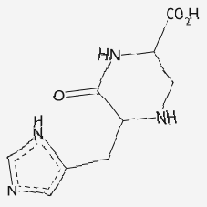 O=C(O)C1CNC(Cc2cnc[nH]2)C(=O)N1